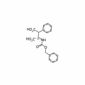 O=C(N[C@H](C(=O)O)C(C(=O)O)c1ccccc1)OCc1ccccc1